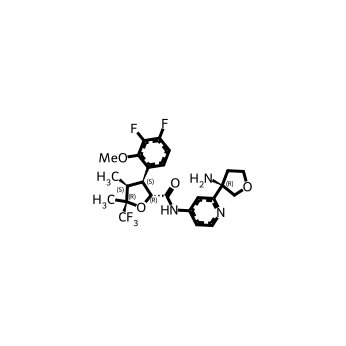 COc1c([C@H]2[C@H](C(=O)Nc3ccnc([C@]4(N)CCOC4)c3)O[C@@](C)(C(F)(F)F)[C@H]2C)ccc(F)c1F